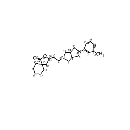 Cc1cc(N2CC3CN(CC[C@H]4CC5(CCCCC5)C(=O)O4)CC3C2)ccn1